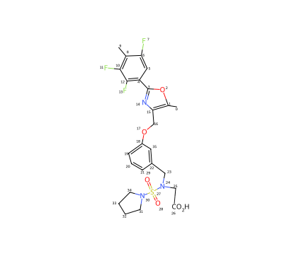 Cc1oc(-c2cc(F)c(C)c(F)c2F)nc1COc1cccc(CN(CC(=O)O)S(=O)(=O)N2CCCC2)c1